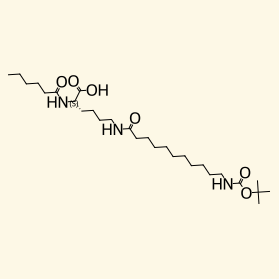 CCCCCC(=O)N[C@@H](CCCCNC(=O)CCCCCCCCCCNC(=O)OC(C)(C)C)C(=O)O